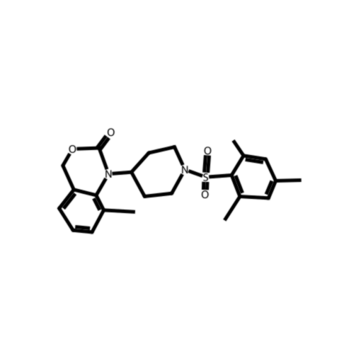 Cc1cc(C)c(S(=O)(=O)N2CCC(N3C(=O)OCc4cccc(C)c43)CC2)c(C)c1